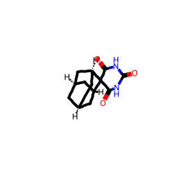 O=C1NC(=O)C2(C(=O)N1)[C@H]1C[C@H]3C[C@H](C1)C[C@H]2C3